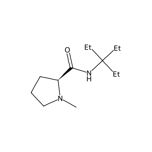 CCC(CC)(CC)NC(=O)[C@@H]1CCCN1C